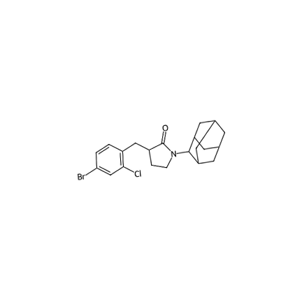 O=C1C(Cc2ccc(Br)cc2Cl)CCN1C1C2CC3CC(C2)CC1C3